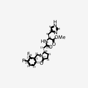 COC(=O)[C@H](Cc1c[nH]cn1)NC(=O)C[C@@H]1CCC(=O)N1Cc1cccc(F)c1F